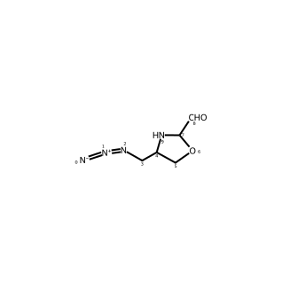 [N-]=[N+]=NCC1COC(C=O)N1